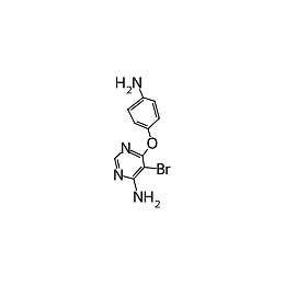 Nc1ccc(Oc2ncnc(N)c2Br)cc1